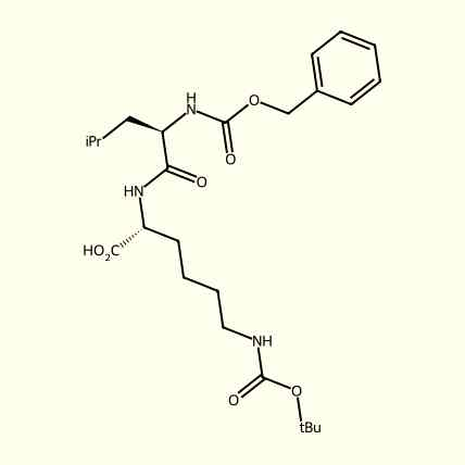 CC(C)C[C@@H](NC(=O)OCc1ccccc1)C(=O)N[C@H](CCCCNC(=O)OC(C)(C)C)C(=O)O